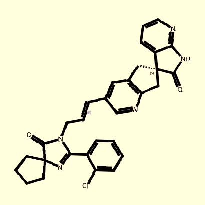 O=C1N(C/C=C/c2cnc3c(c2)C[C@@]2(C3)C(=O)Nc3ncccc32)C(c2ccccc2Cl)=NC12CCCC2